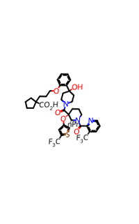 CCC[C@H]1N(C(=O)c2ncccc2C(F)(F)F)CCC[C@@]1(Oc1csc(C(F)(F)F)c1)C(=O)N1CCC(O)(c2ccccc2OCCCC2(C(=O)O)CCCC2)CC1